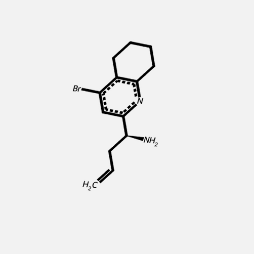 C=CC[C@H](N)c1cc(Br)c2c(n1)CCCC2